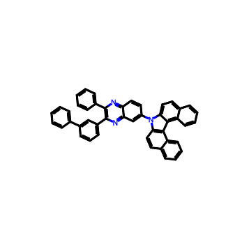 c1ccc(-c2cccc(-c3nc4cc(-n5c6ccc7ccccc7c6c6c7ccccc7ccc65)ccc4nc3-c3ccccc3)c2)cc1